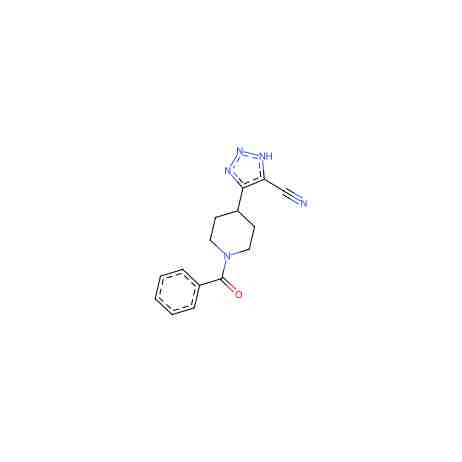 N#Cc1[nH]nnc1C1CCN(C(=O)c2ccccc2)CC1